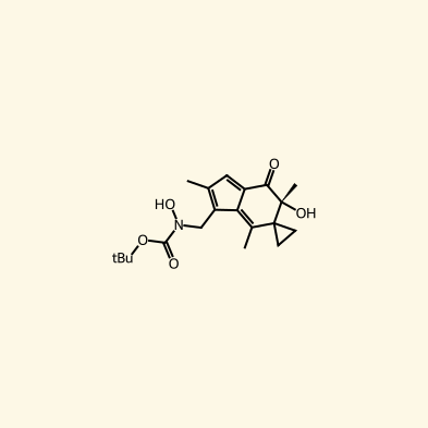 CC1=C(CN(O)C(=O)OC(C)(C)C)C2=C(C)C3(CC3)[C@@](C)(O)C(=O)C2=C1